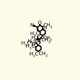 CCOC(=O)[C@]1(CCC(C)(C)[C@]2(C)CC[C@H]3[C@H](C)C(=O)C(C#N)=C[C@]3(C)[C@H]2CC(C)=O)CCC(C)(C)CC1C